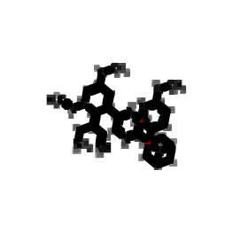 C=NN1C=C(OC)C=C(c2cnc(N3CC4CC(C3)N4Cc3ccc(OC)nc3)cn2)/C1=C(\C=N)CN